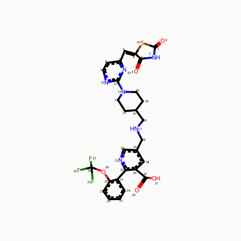 O=C1NC(=O)/C(=C\c2ccnc(N3CCC(CNCc4cnc(-c5ccccc5OC(F)(F)F)c(C(=O)O)c4)CC3)n2)S1